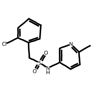 Cc1ccc(NS(=O)(=O)Cc2ccccc2Cl)cn1